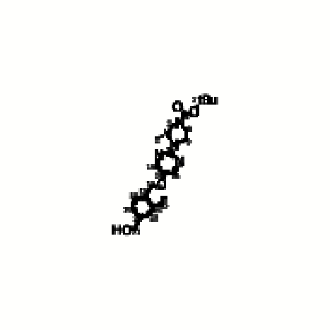 C[C@@H]1CN(C(=O)OC(C)(C)C)CCN1c1ncc(OCc2ccc(CO)cc2F)cn1